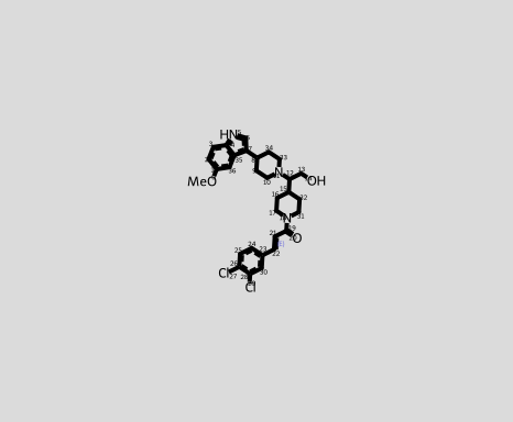 COc1ccc2[nH]cc(C3CCN(C(CO)C4CCN(C(=O)/C=C/c5ccc(Cl)c(Cl)c5)CC4)CC3)c2c1